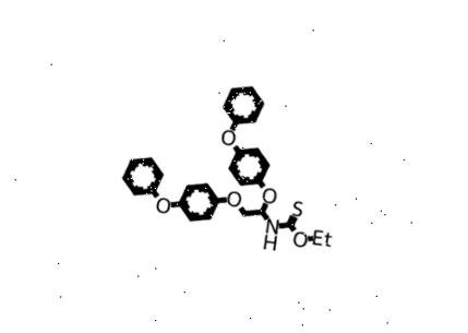 CCOC(=S)NC(COc1ccc(Oc2ccccc2)cc1)Oc1ccc(Oc2ccccc2)cc1